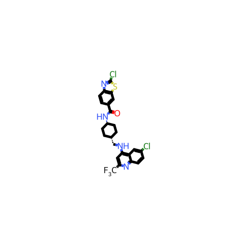 O=C(N[C@H]1CC[C@@H](CNc2cc(C(F)(F)F)nc3ccc(Cl)cc23)CC1)c1ccc2nc(Cl)sc2c1